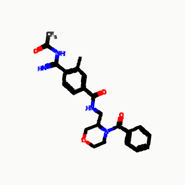 Cc1cc(C(=O)NCC2COCCN2C(=O)c2ccccc2)ccc1C(=N)NC(=O)C(F)(F)F